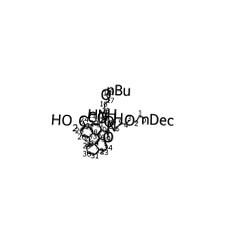 CCCCCCCCCCCCOCCCNC(=O)c1c(C(=O)NCCCOCCCC)c(C(=O)O)c2c(C(=O)O)ccc3c4cccc5cccc(c1c23)c54